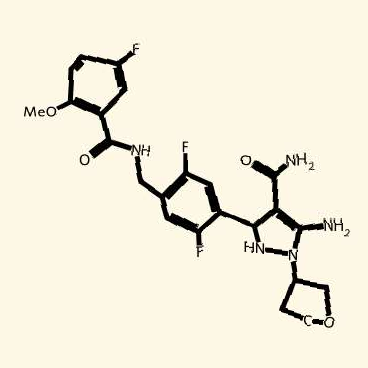 COc1ccc(F)cc1C(=O)NCc1cc(F)c(C2NN(C3CCOC3)C(N)=C2C(N)=O)cc1F